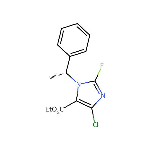 CCOC(=O)c1c(Cl)nc(F)n1[C@H](C)c1ccccc1